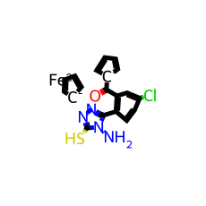 Nn1c(S)nnc1-c1ccc(Cl)cc1C(=O)[c-]1cccc1.[Fe+2].c1cc[cH-]c1